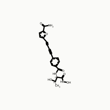 C[C@H](O)[C@H](NC(=O)c1ccc(C#CC#Cc2ccc(C(N)=O)o2)cc1)C(=O)NO